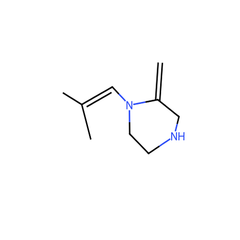 C=C1CNCCN1C=C(C)C